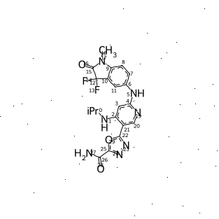 CC(C)Nc1cc(Nc2ccc3c(c2)C(F)(F)C(=O)N3C)ncc1-c1nnc(C(N)=O)o1